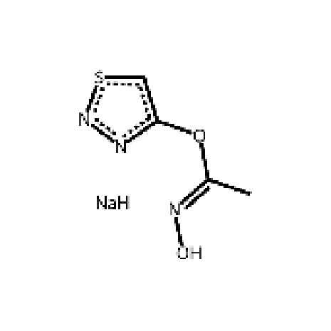 CC(=NO)Oc1csnn1.[NaH]